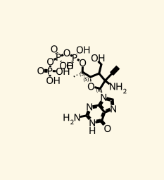 C#CC1(N)C(CO)[C@@H]([C@H](C)OP(=O)(O)OP(=O)(O)OP(=O)(O)O)O[C@H]1n1cnc2c(=O)[nH]c(N)nc21